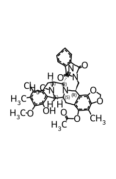 COc1c(C)c(Cl)c2c(c1O)[C@H]1[C@@H]3Cc4c(OC(C)=O)c(C)c5c(c4[C@H](CN4C(=O)c6ccccc6C4=O)N3[C@@H](C#N)[C@H](C2)N1C)OCO5